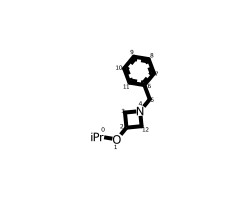 CC(C)OC1CN(Cc2ccccc2)C1